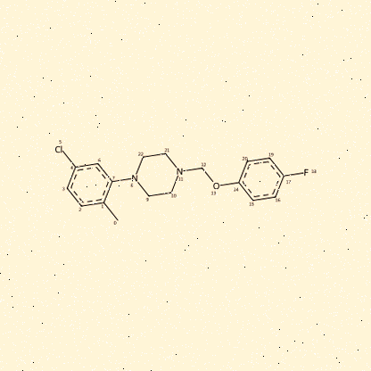 Cc1ccc(Cl)cc1N1CCN(COc2ccc(F)cc2)CC1